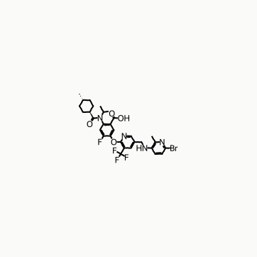 Cc1nc(Br)ccc1NCc1cnc(Oc2cc(C(=O)O)c(N(C(=O)[C@H]3CC[C@H](C)CC3)C(C)C)cc2F)c(C(F)(F)F)c1